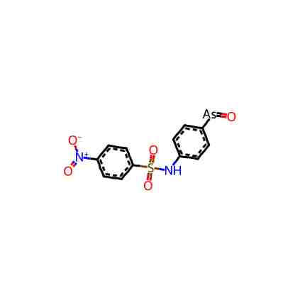 O=[As]c1ccc(NS(=O)(=O)c2ccc([N+](=O)[O-])cc2)cc1